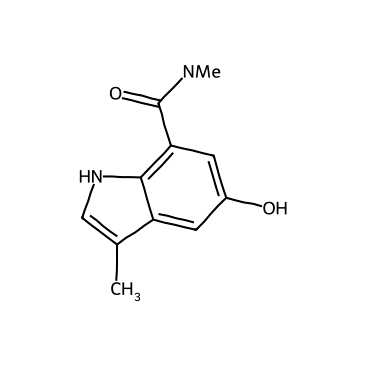 CNC(=O)c1cc(O)cc2c(C)c[nH]c12